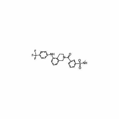 CNS(=O)(=O)c1cccc(C(=O)N2CCc3c(cccc3Nc3ccc(C(F)(F)F)cc3)C2)c1